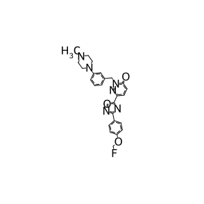 CN1CCN(c2cccc(Cn3nc(-c4nc(-c5ccc(OCF)cc5)no4)ccc3=O)c2)CC1